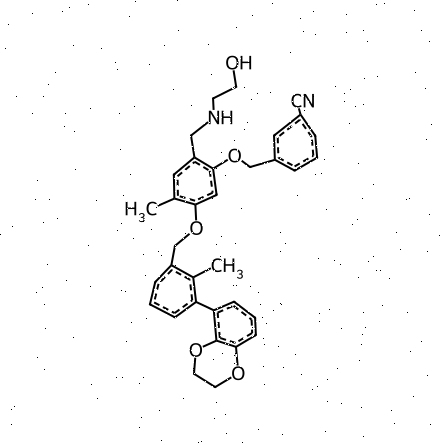 Cc1cc(CNCCO)c(OCc2cccc(C#N)c2)cc1OCc1cccc(-c2cccc3c2OCCO3)c1C